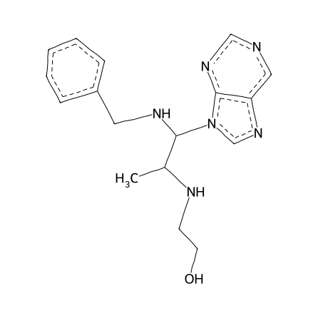 CC(NCCO)C(NCc1ccccc1)n1cnc2cncnc21